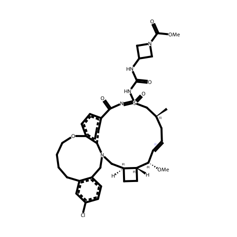 COC(=O)N1CC(NC(=O)NS2(=O)=NC(=O)c3ccc4c(c3)N(Cc3ccc(Cl)cc3CCCCO4)C[C@@H]3CC[C@H]3[C@@H](OC)/C=C/C[C@H](C)C2)C1